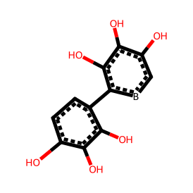 Oc1cbc(-c2ccc(O)c(O)c2O)c(O)c1O